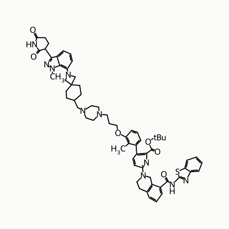 Cc1c(OCCCN2CCN(CC3CCC4(CC3)CN(c3cccc5c(C6CCC(=O)NC6=O)nn(C)c35)C4)CC2)cccc1-c1ccc(N2CCc3cccc(C(=O)Nc4nc5ccccc5s4)c3C2)nc1C(=O)OC(C)(C)C